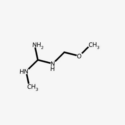 CNC(N)NCOC